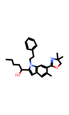 CCCCC(O)c1cc2cc(C)c(C3=NC(C)(C)CO3)cc2n1CCc1ccccc1